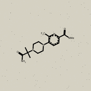 CNC(=O)c1ccc(N2CCN(C(C)(C)C(N)=O)CC2)c(C(F)(F)F)n1